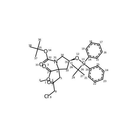 COC(=O)C1(CC(=O)CCl)C[C@H](O[Si](c2ccccc2)(c2ccccc2)C(C)(C)C)CN1C(=O)OC(C)(C)C